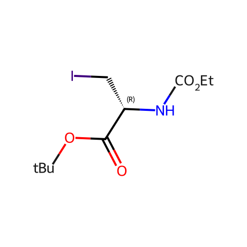 CCOC(=O)N[C@@H](CI)C(=O)OC(C)(C)C